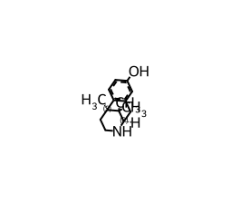 CC1(C)[C@H]2Cc3cc(O)ccc3[C@]1(C)CCN2